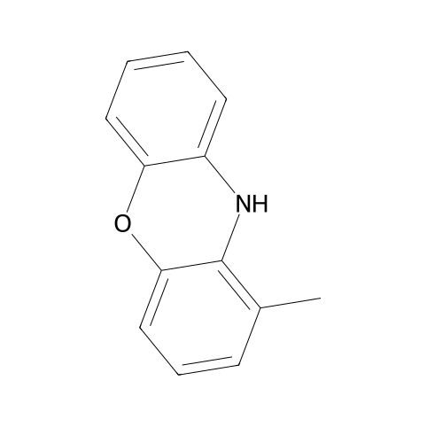 Cc1cccc2c1Nc1ccccc1O2